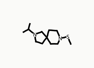 CSN1CCC2(CC1)CCN(C(C)C)C2